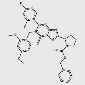 COc1ccc(Cn2c(-c3ccc(F)cc3F)nc3sc(C4CCCN4C(=O)OCc4ccccc4)nc3c2=O)c(OC)c1